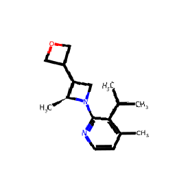 Cc1ccnc(N2CC(C3COC3)[C@@H]2C)c1C(C)C